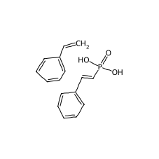 C=Cc1ccccc1.O=P(O)(O)C=Cc1ccccc1